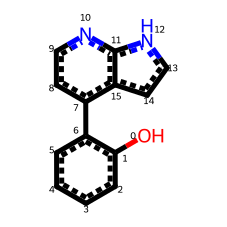 Oc1ccc[c]c1-c1ccnc2[nH]ccc12